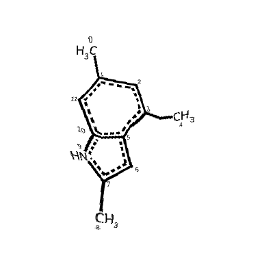 Cc1cc(C)c2cc(C)[nH]c2c1